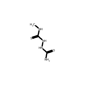 CNC(=S)NNC(N)=O